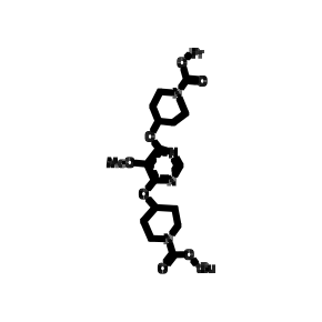 COc1c(OC2CCN(C(=O)OC(C)C)CC2)ncnc1OC1CCN(C(=O)OC(C)(C)C)CC1